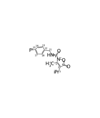 Cc1c(C(C)C)c(=O)on1C(=O)NCc1ccc(F)cc1